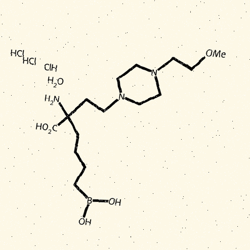 COCCN1CCN(CCC(N)(CCCCB(O)O)C(=O)O)CC1.Cl.Cl.Cl.O